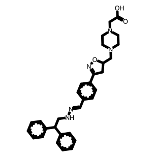 O=C(O)CN1CCN(CC2CC(c3ccc(C=NNCC(c4ccccc4)c4ccccc4)cc3)=NO2)CC1